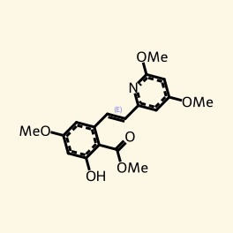 COC(=O)c1c(O)cc(OC)cc1/C=C/c1cc(OC)cc(OC)n1